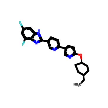 O=C(O)C[C@H]1CC[C@@H](Oc2ccc(-c3ccc(-c4nc5c(F)cc(F)cc5[nH]4)cn3)cn2)CC1